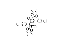 CC(C)C(C)OC(=O)N1C(=O)C2=C(c3ccc(Cl)cc3)N(C(=O)OC(C)C(C)C)C(=O)C2=C1c1ccc(Cl)cc1